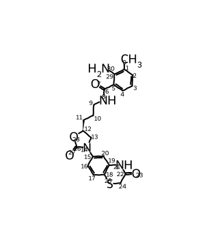 Cc1cccc(C(=O)NCCC[C@H]2CN(c3ccc4c(c3)NC(=O)CS4)C(=O)O2)c1N